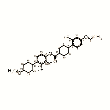 CCOc1ccc(C2CCC(C(=O)Oc3ccc(C4CCC(OC)CC4)c(F)c3F)CC2)c(F)c1